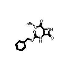 CCCCOC(=O)C1NC(=O)C1NC(=O)OCc1ccccc1